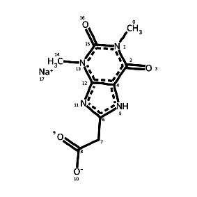 Cn1c(=O)c2[nH]c(CC(=O)[O-])nc2n(C)c1=O.[Na+]